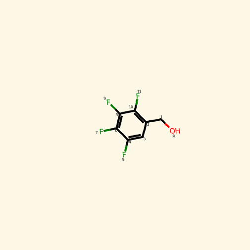 OCc1cc(F)c(F)c(F)c1F